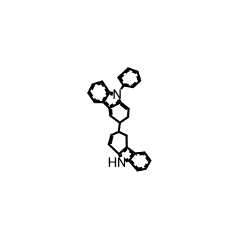 C1=CC(C2C=c3c(n(-c4ccccc4)c4ccccc34)=CC2)Cc2c1[nH]c1ccccc21